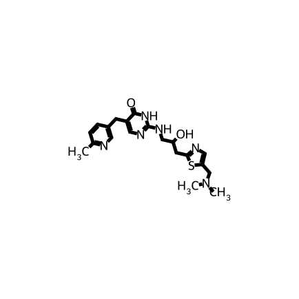 Cc1ccc(Cc2cnc(NCC(O)Cc3ncc(CN(C)C)s3)[nH]c2=O)cn1